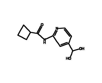 O=C(Nc1cc(C(O)O)ccn1)C1CCC1